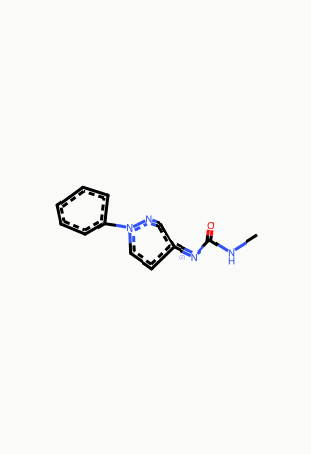 CNC(=O)/N=c1/ccn(-c2ccccc2)nc1